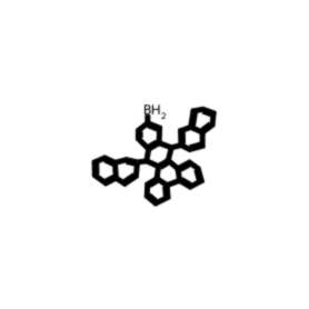 Bc1ccc2c(c1)C(c1ccc3ccccc3c1)c1c(c3ccccc3c3ccccc13)C2c1ccc2ccccc2c1